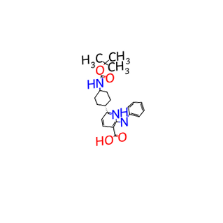 CC(C)(C)OC(=O)N[C@H]1CC[C@H](c2ccc(C(=O)O)c(Nc3ccccc3)n2)CC1